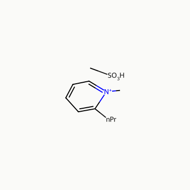 CCCc1cccc[n+]1C.CS(=O)(=O)O